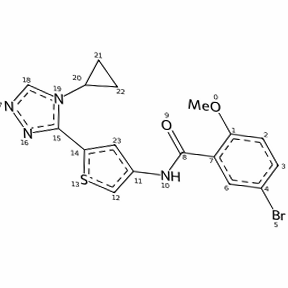 COc1ccc(Br)cc1C(=O)Nc1csc(-c2nncn2C2CC2)c1